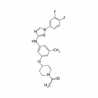 CC(=O)N1CCC(Oc2cc(C)cc(Nc3ncn(-c4ccc(F)c(F)c4)n3)c2)CC1